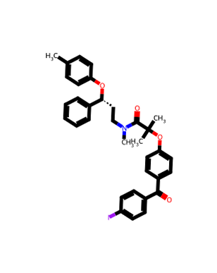 Cc1ccc(O[C@H](CCN(C)C(=O)C(C)(C)Oc2ccc(C(=O)c3ccc(I)cc3)cc2)c2ccccc2)cc1